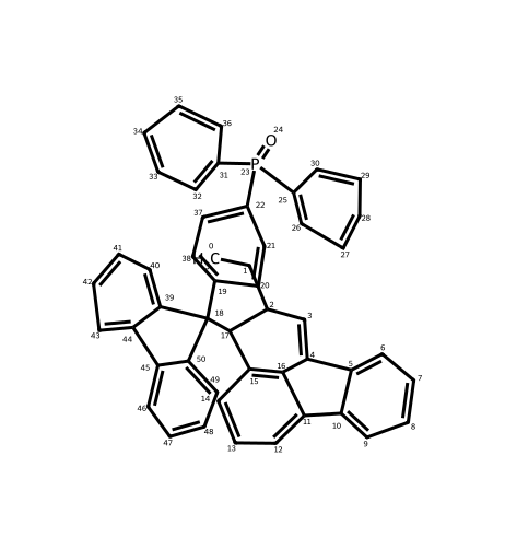 CCC1C=C2c3ccccc3-c3cccc(c32)C1C1(c2ccc(P(=O)(c3ccccc3)c3ccccc3)cc2)c2ccccc2-c2ccccc21